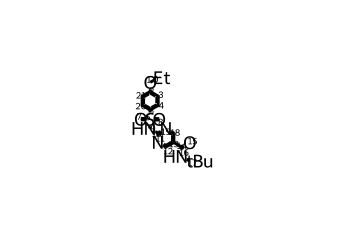 CCOc1ccc(S(=O)(=O)Nc2ncc(C(=O)NC(C)(C)C)cn2)cc1